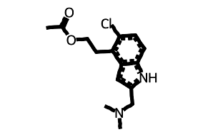 CC(=O)OCCc1c(Cl)ccc2[nH]c(CN(C)C)cc12